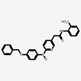 O=C(Cc1ccc([S+]([O-])c2ccc(OCc3ccccc3)cc2)nc1)Nc1ccccc1C(=O)O